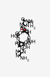 CO[C@H]1[C@H]2OP(=O)(O)OC[C@@H]3[C@@H](OP(=O)(O)OC[C@H]1O[C@H]2n1cnc2c(=O)[nH]c(N)nc21)[C@@H](O)C1(n2cnc4c(N)ncnc42)C[C@@H]31